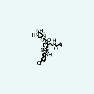 CC1Cc2nc(C(=O)N3CCN(S(=O)(=O)c4cc5cc(Cl)ccc5[nH]4)CC3CCNC(=O)C3CC3)oc2CN1